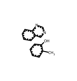 Cc1ccccc1O.c1ccc2ncncc2c1